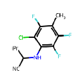 Cc1c(F)c(F)c(NC(C#N)C(C)C)c(Cl)c1F